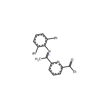 CCC(=O)c1cccc(/C(C)=N/c2c(C(C)C)cccc2C(C)C)n1